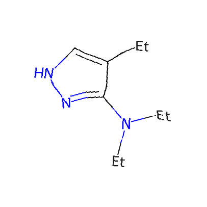 CCc1c[nH]nc1N(CC)CC